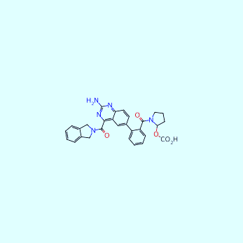 Nc1nc(C(=O)N2Cc3ccccc3C2)c2cc(-c3ccccc3C(=O)N3CCCC3OC(=O)O)ccc2n1